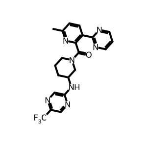 Cc1ccc(-c2ncccn2)c(C(=O)N2CCCC(Nc3cnc(C(F)(F)F)cn3)C2)n1